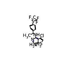 C=c1scc(Cl)/c1=C(/N=C\N)NC(C)c1ccc(SC(F)(F)C(F)(F)F)cc1